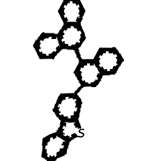 c1ccc2c(-c3cc4ccccc4c4ccccc34)cc(-c3ccc4c(c3)sc3ccccc34)cc2c1